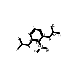 CC(C)Cc1cccc(CC(C)C)c1N(C)C